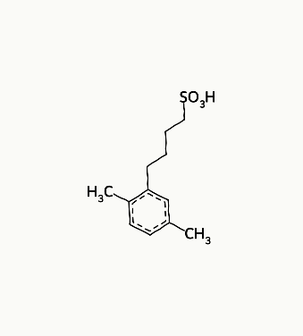 Cc1ccc(C)c(CCCCS(=O)(=O)O)c1